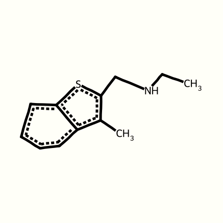 CCNCc1sc2ccccc2c1C